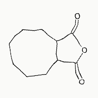 O=C1OC(=O)C2CCCCCCC12